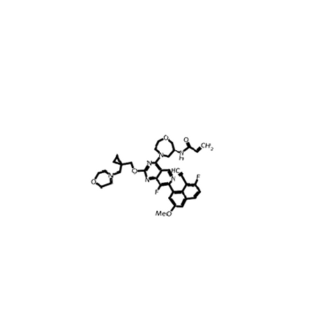 C#Cc1c(F)ccc2cc(OC)cc(-c3ncc4c(N5CCOC[C@@H](NC(=O)C=C)C5)nc(OCC5(CN6CCOCC6)CC5)nc4c3F)c12